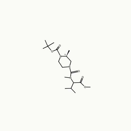 COC(=O)C(C(C)C)N(C)C(=O)N1CCN(C(=O)OC(C)(C)C)[C@@H](C)C1